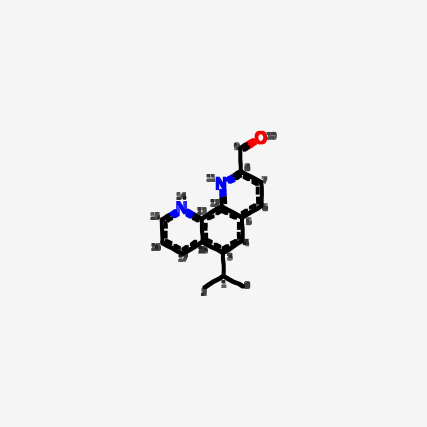 CC(C)c1cc2ccc(C=O)nc2c2ncccc12